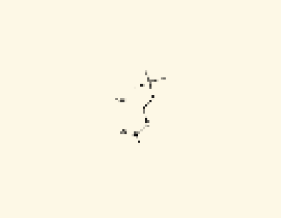 CC(=O)OCC[N+](C)(C)C.[Sn]